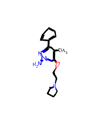 Cc1c(-c2ccccc2)nn(N)c1OCCN1CCCC1